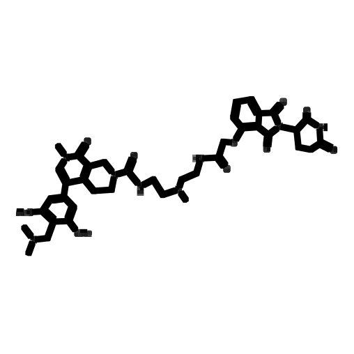 COc1cc(-c2cn(C)c(=O)c3c2CCN(C(=O)NCCN(C)CCNC(=O)COc2cccc4c2C(=O)N(C2CCC(=O)NC2=O)C4=O)C3)cc(OC)c1CN(C)C